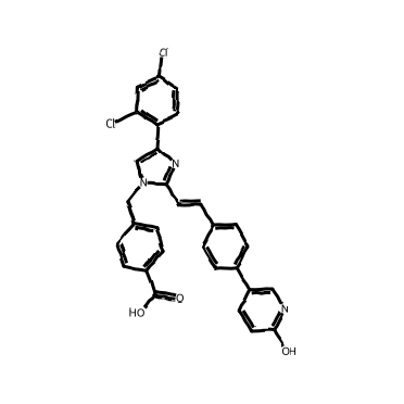 O=C(O)c1ccc(Cn2cc(-c3ccc(Cl)cc3Cl)nc2C=Cc2ccc(-c3ccc(O)nc3)cc2)cc1